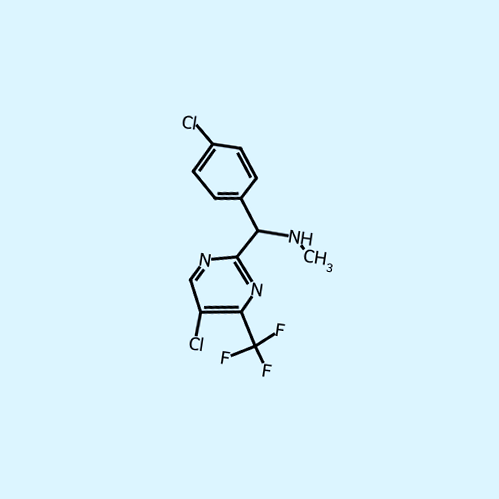 CNC(c1ccc(Cl)cc1)c1ncc(Cl)c(C(F)(F)F)n1